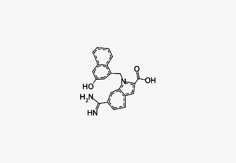 N=C(N)c1ccc2cc(C(=O)O)n(Cc3cc(O)cc4ccccc34)c2c1